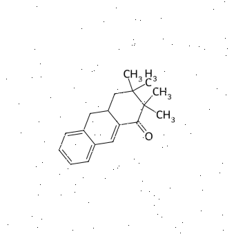 CC1(C)CC2Cc3ccccc3C=C2C(=O)C1(C)C